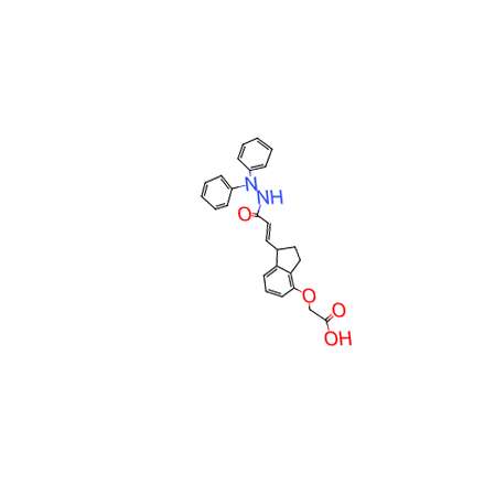 O=C(O)COc1cccc2c1CCC2C=CC(=O)NN(c1ccccc1)c1ccccc1